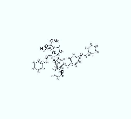 COC(=O)[C@@]12CO[C@@](c3ccc(Cl)c(Cc4ccc(OCc5ccccc5)cc4)c3)(O1)[C@H](OCc1ccccc1)[C@@H](OCc1ccccc1)[C@@H]2C